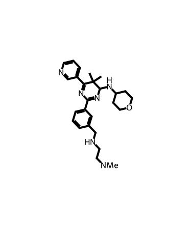 CNCCNCc1cccc(C2=NC(NC3CCOCC3)C(C)(C)C(c3cccnc3)=N2)c1